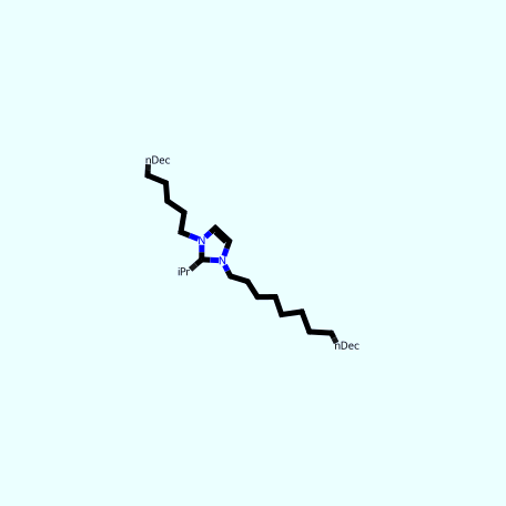 CCCCCCCCCCCCCCCCCCN1C=CN(CCCCCCCCCCCCCCC)C1C(C)C